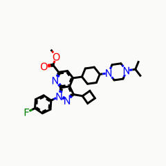 COC(=O)c1cc(C2CCC(N3CCN(C(C)C)CC3)CC2)c2c(C3CCC3)nn(-c3ccc(F)cc3)c2n1